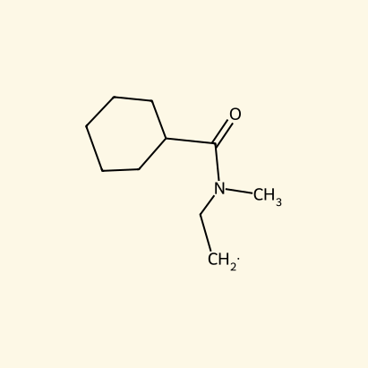 [CH2]CN(C)C(=O)C1CCCCC1